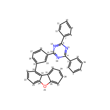 c1ccc(-c2nc(-c3ccccc3)nc(-c3cccc(-c4cccc5oc6ccccc6c45)c3)n2)cc1